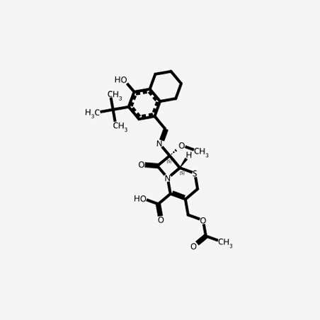 CO[C@@]1(N=Cc2cc(C(C)(C)C)c(O)c3c2CCCC3)C(=O)N2C(C(=O)O)=C(COC(C)=O)CS[C@H]21